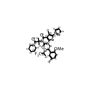 COc1ccc(F)cc1[C@H](Cn1c(=O)n(C(C)(C)C(=O)N2CCCCC2)c(=O)c2c(C)c(-n3cccn3)sc21)OC(C)C(F)(F)F